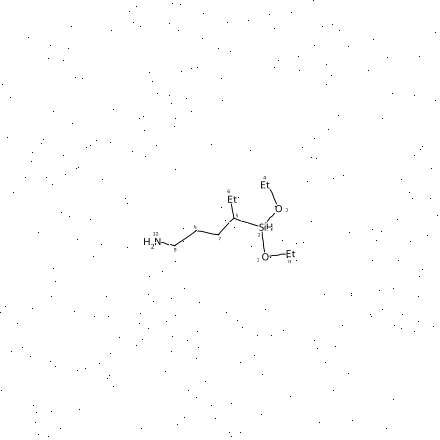 CCO[SiH](OCC)C(CC)CCCN